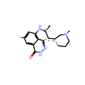 C[C@@H]1Nc2cc(F)cc3c(=O)[nH]nc(c23)[C@H]1[C@H]1CCCN(C)C1